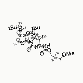 COCC(C)(C)COC(=O)Nc1nc(=O)n([C@@H]2O[C@H](C)[C@@H](O[Si](C)(C)C(C)(C)C)[C@H]2O[Si](C)(C)C(C)(C)C)cc1I